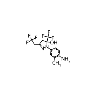 Cc1cc(N2N=C(CC(F)(F)F)CC2(O)C(F)(F)F)ccc1N